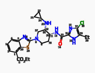 CCOC(=O)c1cccc2nc(N3CC[C@@H](NC(=O)c4nc(Cl)c(CC)[nH]4)[C@@H](NC4CC4)C3)sc12